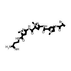 C=C(Br)C(=O)Nc1cc(C(=O)Nc2cc(C(=O)Nc3cc(C(=O)NCCC(=N)N)n(C)n3)n(C)n2)n(C)c1